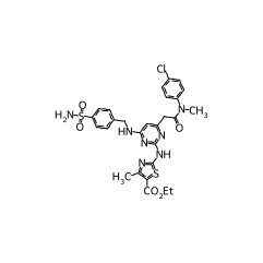 CCOC(=O)c1sc(Nc2nc(CC(=O)N(C)c3ccc(Cl)cc3)cc(NCc3ccc(S(N)(=O)=O)cc3)n2)nc1C